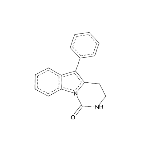 O=C1NCCc2c(-c3ccccc3)c3ccccc3n21